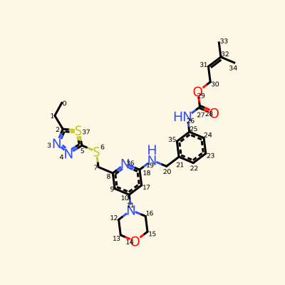 CCc1nnc(SCc2cc(N3CCOCC3)cc(NCc3cccc(NC(=O)OCC=C(C)C)c3)n2)s1